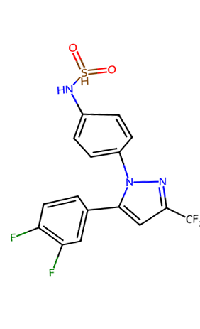 O=[SH](=O)Nc1ccc(-n2nc(C(F)(F)F)cc2-c2ccc(F)c(F)c2)cc1